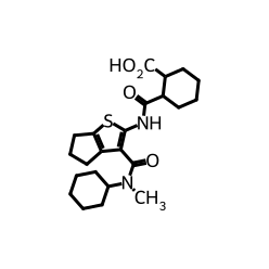 CN(C(=O)c1c(NC(=O)C2CCCCC2C(=O)O)sc2c1CCC2)C1CCCCC1